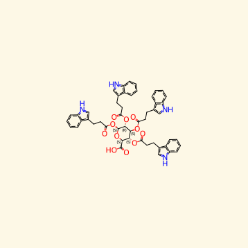 O=C(CCc1c[nH]c2ccccc12)O[C@@H]1O[C@H](C(=O)O)[C@@H](OC(=O)CCc2c[nH]c3ccccc23)[C@H](OC(=O)CCc2c[nH]c3ccccc23)[C@H]1OC(=O)CCc1c[nH]c2ccccc12